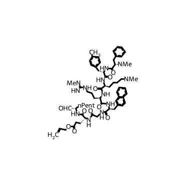 C=CCOC(=O)CC[C@@H](NC(=O)CNC(=O)[C@H](Cc1ccc2ccccc2c1)NC(=O)[C@@H](CCCNC(=N)NC)NC(=O)[C@H](CCCCNC)NC(=O)[C@H](Cc1ccc(C)cc1)NC(=O)[C@H](Cc1ccccc1)NC)C(=O)N[C@H](C=O)CCCCC